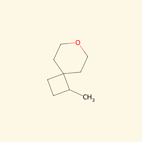 CC1CCC12CCOCC2